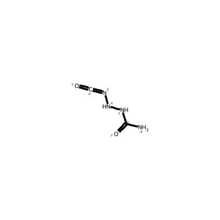 NC(=O)NNN=C=O